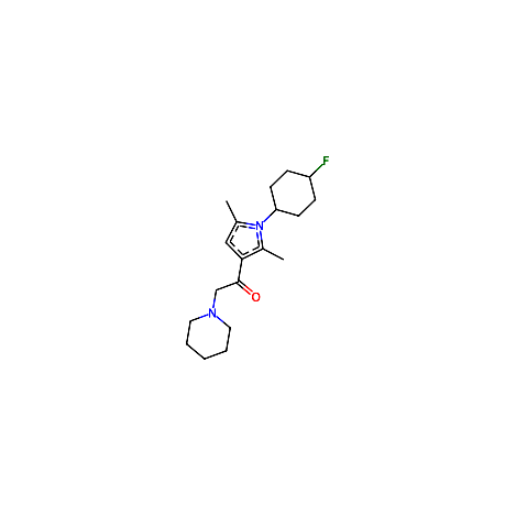 Cc1cc(C(=O)CN2CCCCC2)c(C)n1C1CCC(F)CC1